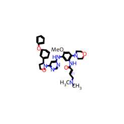 COc1cc(N2CCOCC2)c(NC(=O)/C=C/CN(C)C)cc1Nc1cc(N2OCCC2c2cccc(Oc3ccccc3)c2)ncn1